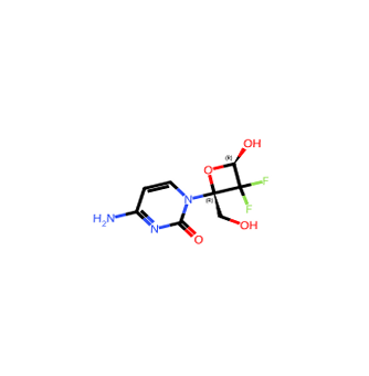 Nc1ccn([C@]2(CO)O[C@@H](O)C2(F)F)c(=O)n1